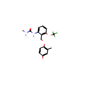 Cc1cc(O)ccc1OCc1c(OC(F)(F)F)cccc1N(N)C(=O)N(C)N